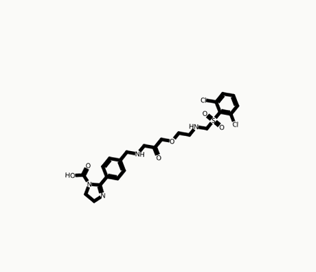 O=C(CNCc1ccc(C2=NCCN2C(=O)O)cc1)COCCNCS(=O)(=O)c1c(Cl)cccc1Cl